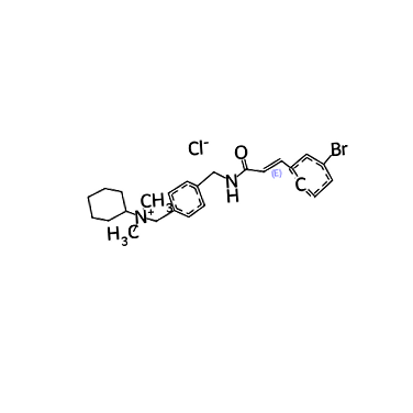 C[N+](C)(Cc1ccc(CNC(=O)/C=C/c2cccc(Br)c2)cc1)C1CCCCC1.[Cl-]